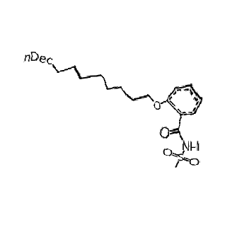 CCCCCCCCCCCCCCCCCCOc1ccccc1C(=O)NS(C)(=O)=O